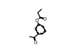 CCC(=O)Oc1cccc(C(C)=O)c1